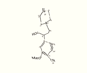 COc1cc(C(O)CN2CCNCC2)ncc1C#N